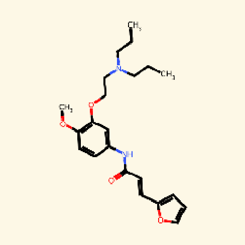 CCCN(CCC)CCOc1cc(NC(=O)C=Cc2ccco2)ccc1OC